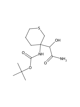 CC(C)(C)OC(=O)NC1(C(O)C(N)=O)CCCSC1